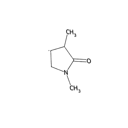 CC1[CH]CN(C)C1=O